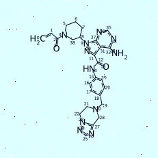 C=CC(=O)N1CCCC(n2nc(C(=O)Nc3ccc(CN4CCn5ncnc5C4)cc3)c3c(N)ncnc32)C1